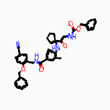 Cc1cc(C(=O)NCc2cc(C#N)ccc2OCc2ccccc2)ccc1NC1(C(=O)CNC(=O)OCc2ccccc2)CCCC1